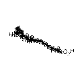 CCCCc1nc(Cl)c(CNC(=O)COCC(=O)NCCOCCOCCOCCOCCOCCNC(=O)COCC(=O)O)n1Cc1ccc(-c2ccccc2-c2nn[nH]n2)cc1